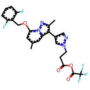 Cc1cc(OCc2c(F)cccc2F)n2nc(C)c(-c3cnn(CCC(=O)OC(=O)C(F)(F)F)c3)c2c1